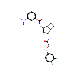 CN(C)c1cccc(C(=O)NC2C[C@H](NC(=O)COc3ccc(Cl)c(F)c3)C3CCC23)c1